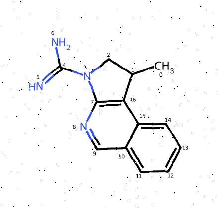 CC1CN(C(=N)N)c2ncc3ccccc3c21